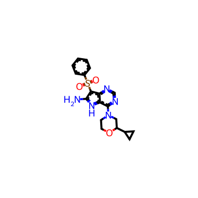 Nc1[nH]c2c(N3CCOC(C4CC4)C3)ncnc2c1S(=O)(=O)c1ccccc1